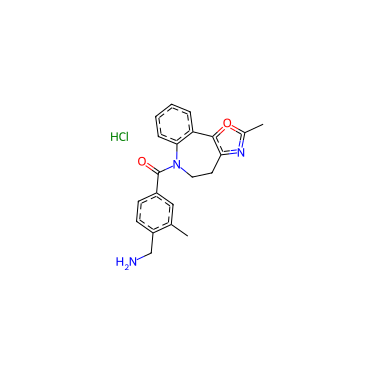 Cc1nc2c(o1)-c1ccccc1N(C(=O)c1ccc(CN)c(C)c1)CC2.Cl